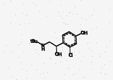 CC(C)(C)NCC(O)c1ccc(O)cc1Cl